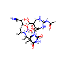 CC(=O)/N=C1/NCC2(CO)OC(n3cc(C)c(=O)[nH]c3=O)C(N1)C2OP(OCCC#N)N(C(C)C)C(C)C